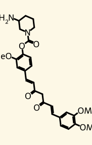 COc1ccc(C=CC(=O)CC(=O)C=Cc2ccc(OC(=O)N3CCCC(N)C3)c(OC)c2)cc1OC